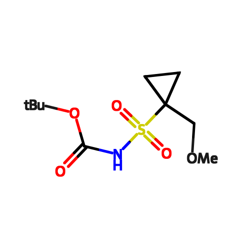 COCC1(S(=O)(=O)NC(=O)OC(C)(C)C)CC1